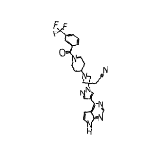 N#CCC1(n2cc(-c3ncnc4[nH]ccc34)cn2)CN(C2CCN(C(=O)c3cccc(C(F)(F)F)c3)CC2)C1